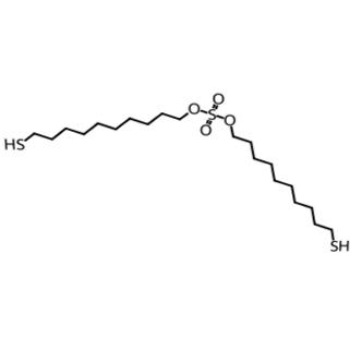 O=S(=O)(OCCCCCCCCCCS)OCCCCCCCCCCS